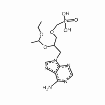 CCOC(C)OC(COCP(=O)(O)O)Cn1cnc2c(N)ncnc21